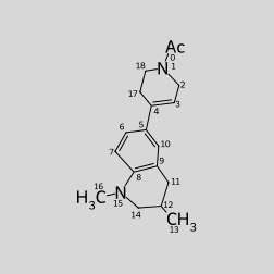 CC(=O)N1CC=C(c2ccc3c(c2)CC(C)CN3C)CC1